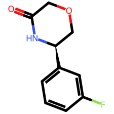 O=C1COC[C@@H](c2cccc(F)c2)N1